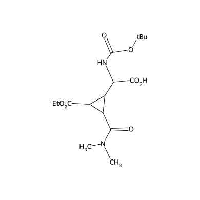 CCOC(=O)C1C(C(=O)N(C)C)C1C(NC(=O)OC(C)(C)C)C(=O)O